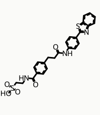 O=C(CCc1ccc(C(=O)NCCS(=O)(=O)O)cc1)Nc1ccc(-c2nc3ccccc3s2)cc1